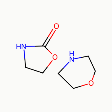 C1COCCN1.O=C1NCCO1